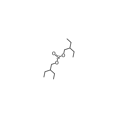 CCC(CC)CO[Si](=O)OCC(CC)CC